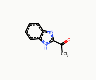 O=C(c1nc2ccccc2[nH]1)C(Cl)(Cl)Cl